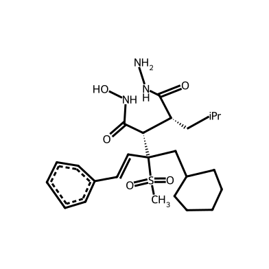 CC(C)C[C@@H](C(=O)NN)[C@@H](C(=O)NO)C(/C=C/c1ccccc1)(CC1CCCCC1)S(C)(=O)=O